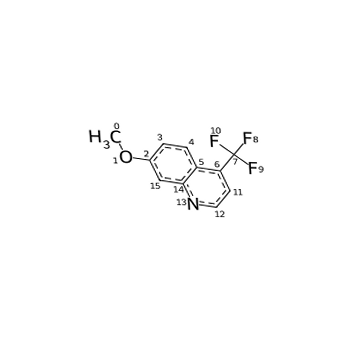 COc1ccc2c(C(F)(F)F)ccnc2c1